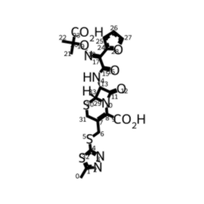 Cc1nnc(SCC2=C(C(=O)O)N3C(=O)[C@@H](NC(=O)C(=NOC(C)(C)C(=O)O)c4ccco4)[C@H]3SC2)s1